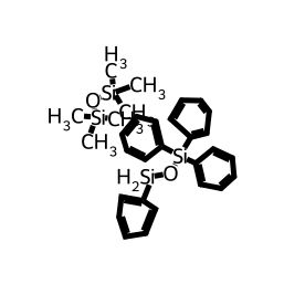 C[Si](C)(C)O[Si](C)(C)C.c1ccc([SiH2]O[Si](c2ccccc2)(c2ccccc2)c2ccccc2)cc1